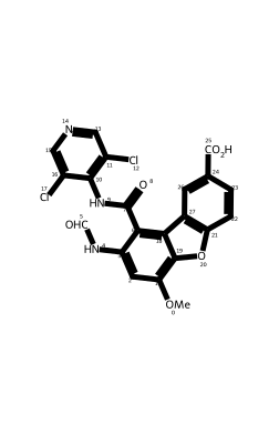 COc1cc(NC=O)c(C(=O)Nc2c(Cl)cncc2Cl)c2c1oc1ccc(C(=O)O)cc12